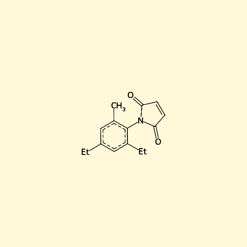 CCc1cc(C)c(N2C(=O)C=CC2=O)c(CC)c1